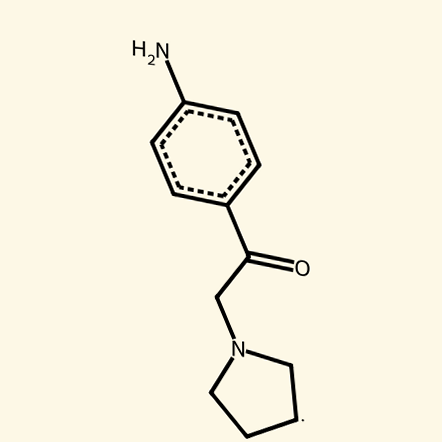 Nc1ccc(C(=O)CN2C[CH]CC2)cc1